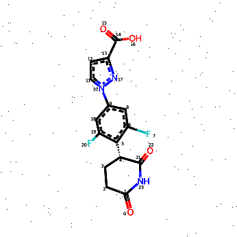 O=C1CC[C@H](c2c(F)cc(-n3ccc(C(=O)O)n3)cc2F)C(=O)N1